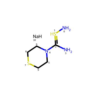 N[SH]=C(N)N1CCSCC1.[NaH]